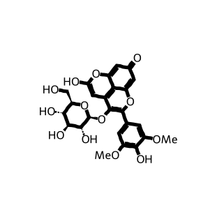 COc1cc(-c2oc3cc(=O)cc4oc(O)cc(c2O[C@@H]2O[C@H](CO)[C@@H](O)[C@H](O)[C@H]2O)c43)cc(OC)c1O